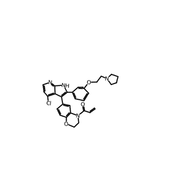 C=CC(=O)N1CCOc2ccc(-c3c(-c4cccc(OCCN5CCCC5)c4)[nH]c4nccc(Cl)c34)cc21